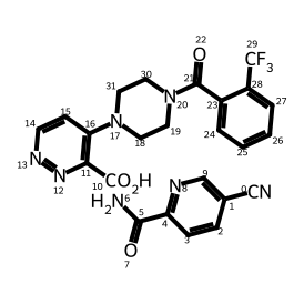 N#Cc1ccc(C(N)=O)nc1.O=C(O)c1nnccc1N1CCN(C(=O)c2ccccc2C(F)(F)F)CC1